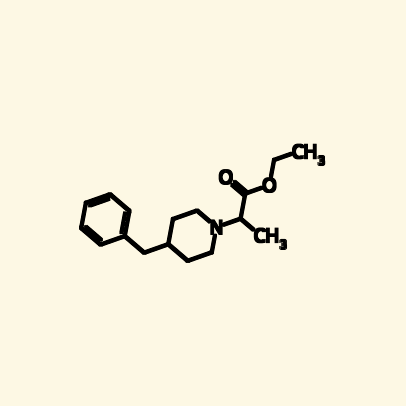 CCOC(=O)C(C)N1CCC(Cc2ccccc2)CC1